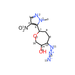 Cn1ncc([N+](=O)[O-])c1C1CCC(N=[N+]=[N-])C(O)CO1